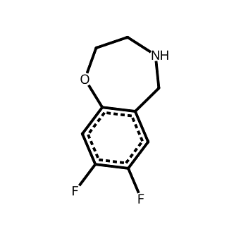 Fc1cc2c(cc1F)OCCNC2